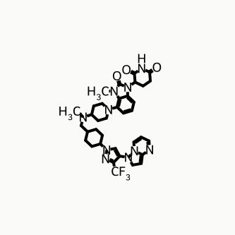 CN(CC1CCC(n2cc(N3CC=C4N=CC=CN43)c(C(F)(F)F)n2)CC1)C1CCN(c2cccc3c2n(C)c(=O)n3C2CCC(=O)NC2=O)CC1